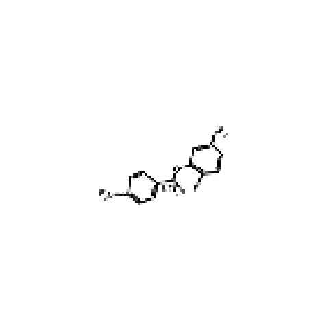 O=C(O)C(Oc1cc(C(F)(F)F)ccc1F)c1ccc(C(F)(F)F)cc1